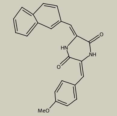 COc1ccc(C=c2[nH]c(=O)c(=Cc3ccc4ccccc4c3)[nH]c2=O)cc1